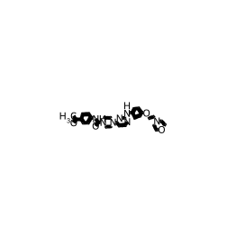 CC(=O)c1ccc(NC(=O)N2CCN(c3ccnc(Nc4ccc(OCCN5CCOCC5)cc4)n3)CC2)cc1